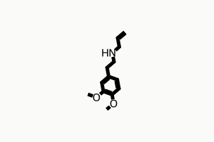 C=CCNCCc1ccc(OC)c(OC)c1